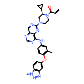 C=CC(=O)N1CCN(c2ncc3ncnc(Nc4ccc(Oc5ccc6c(c5)nnn6C)c(C)c4)c3n2)C[C@H]1C1CC1